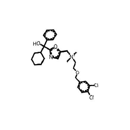 C[N+](C)(CCOCc1ccc(Cl)c(Cl)c1)Cc1cnc(C(O)(c2ccccc2)C2CCCCC2)o1